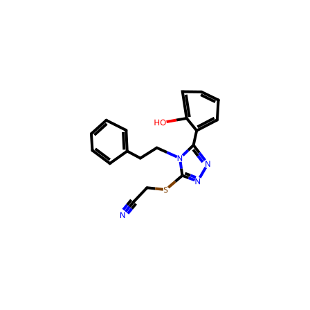 N#CCSc1nnc(-c2ccccc2O)n1CCc1ccccc1